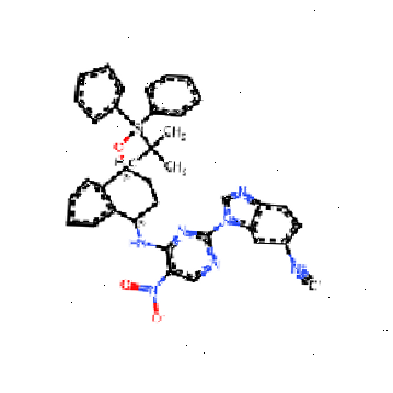 [C-]#[N+]c1ccc2ncn(-c3ncc([N+](=O)[O-])c(N[C@@H]4CC[C@@H](O[Si](c5ccccc5)(c5ccccc5)C(C)(C)C)c5ccccc54)n3)c2c1